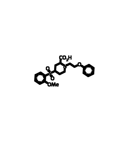 COc1ccccc1S(=O)(=O)C1CCN(CCOc2ccccc2)C(C(=O)O)C1